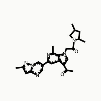 CC(=O)c1cn(CC(=O)N2CC(C)CC2C)c2c(C)nc(-c3cnc4cc(C)nn4c3)cc12